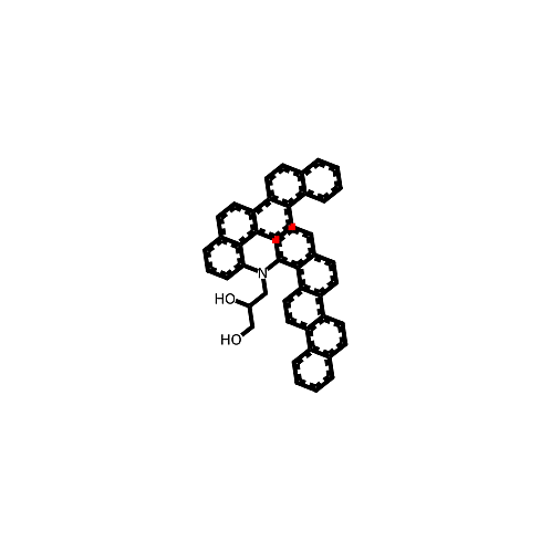 OCC(O)CN(c1cccc2ccc3c4ccc5ccccc5c4ccc3c12)c1cccc2ccc3c4ccc5ccccc5c4ccc3c12